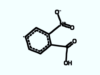 O=C(O)c1cc[c]cc1[N+](=O)[O-]